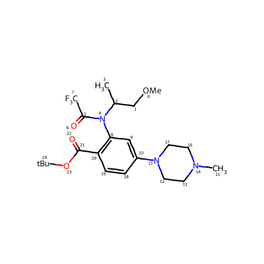 COCC(C)N(C(=O)C(F)(F)F)c1cc(N2CCN(C)CC2)ccc1C(=O)OC(C)(C)C